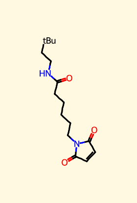 CC(C)(C)CCNC(=O)CCCCCN1C(=O)C=CC1=O